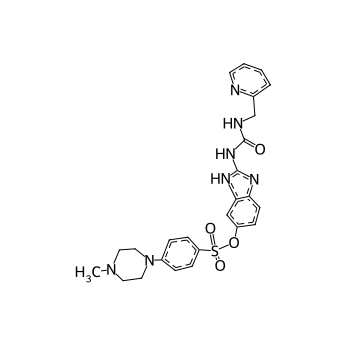 CN1CCN(c2ccc(S(=O)(=O)Oc3ccc4nc(NC(=O)NCc5ccccn5)[nH]c4c3)cc2)CC1